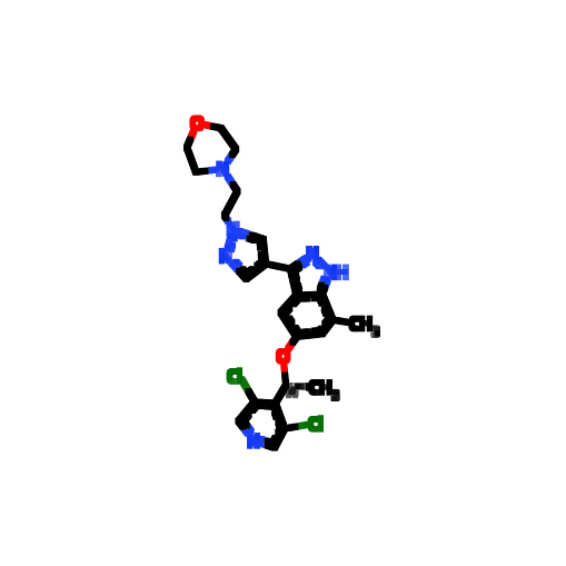 Cc1cc(O[C@H](C)c2c(Cl)cncc2Cl)cc2c(-c3cnn(CCN4CCOCC4)c3)n[nH]c12